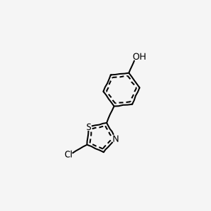 Oc1ccc(-c2ncc(Cl)s2)cc1